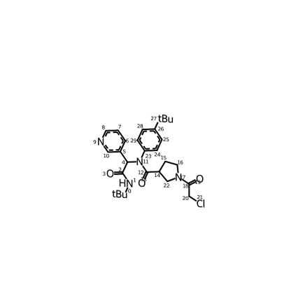 CC(C)(C)NC(=O)C(c1cccnc1)N(C(=O)C1CCN(C(=O)CCl)C1)c1ccc(C(C)(C)C)cc1